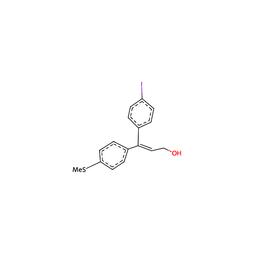 CSc1ccc(C(=CCO)c2ccc(I)cc2)cc1